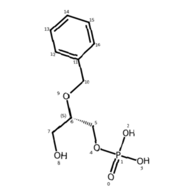 O=P(O)(O)OC[C@H](CO)OCc1ccccc1